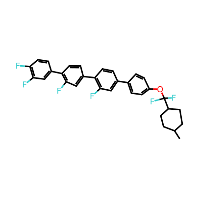 CC1CCC(C(F)(F)Oc2ccc(-c3ccc(-c4ccc(-c5ccc(F)c(F)c5)c(F)c4)c(F)c3)cc2)CC1